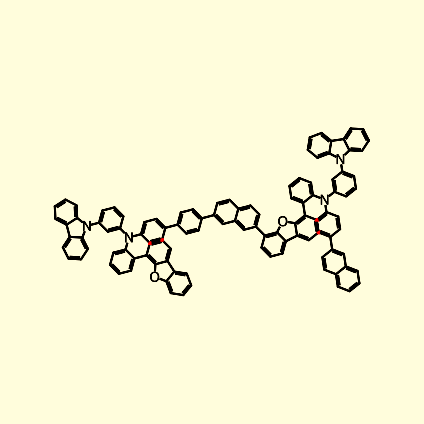 c1cc(N(c2ccc(-c3ccc(-c4ccc5ccc(-c6cccc7c6oc6c(-c8ccccc8N(c8ccc(-c9ccc%10ccccc%10c9)cc8)c8cccc(-n9c%10ccccc%10c%10ccccc%109)c8)cccc67)cc5c4)cc3)cc2)c2ccccc2-c2cccc3c2oc2ccccc23)cc(-n2c3ccccc3c3ccccc32)c1